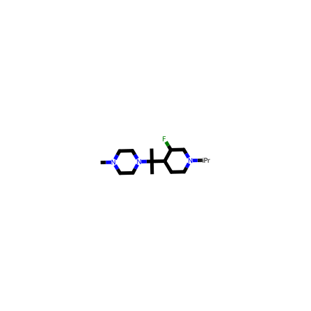 CC(C)N1CCC(C(C)(C)N2CCN(C)CC2)C(F)C1